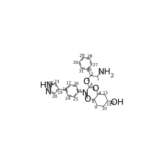 NCC(OC(=O)N(OC1CCC(O)CC1)c1ccc(-c2cn[nH]c2)cc1)c1ccccc1